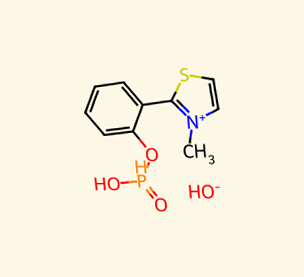 C[n+]1ccsc1-c1ccccc1O[PH](=O)O.[OH-]